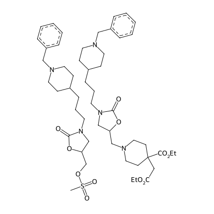 CCOC(=O)CC1(C(=O)OCC)CCN(CC2CN(CCCC3CCN(Cc4ccccc4)CC3)C(=O)O2)CC1.CS(=O)(=O)OCC1CN(CCCC2CCN(Cc3ccccc3)CC2)C(=O)O1